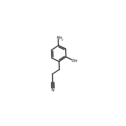 N#CCCc1ccc(N)cc1O